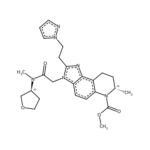 COC(=O)N1c2ccc3c(nc(CCn4cccn4)n3CC(=O)N(C)[C@H]3CCOC3)c2CC[C@@H]1C